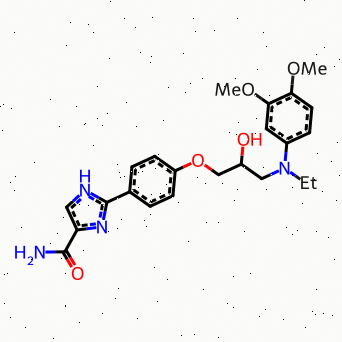 CCN(CC(O)COc1ccc(-c2nc(C(N)=O)c[nH]2)cc1)c1ccc(OC)c(OC)c1